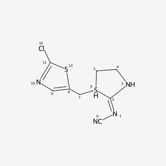 N#CN=C1NCC[SH]1Cc1cnc(Cl)s1